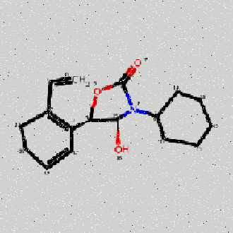 C=CC1=C([C@H]2OC(=O)N(C3CCCCC3)[C@H]2O)C=CCC1